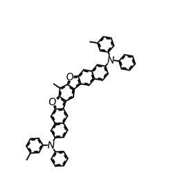 Cc1cccc(N(c2ccccc2)c2ccc3cc4c(cc3c2)oc2c(C)c3oc5cc6cc(N(c7ccccc7)c7cccc(C)c7)ccc6cc5c3cc24)c1